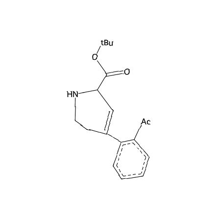 CC(=O)c1ccccc1C1=CC(C(=O)OC(C)(C)C)NCC1